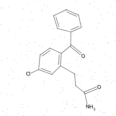 NC(=O)CCc1cc(Cl)ccc1C(=O)c1ccccc1